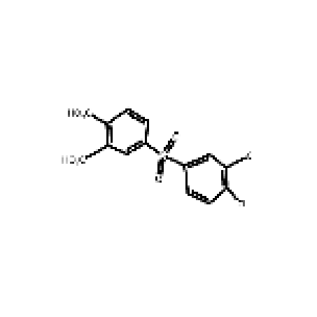 O=C(O)c1ccc(S(=O)(=O)c2ccc(Cl)c(Cl)c2)cc1C(=O)O